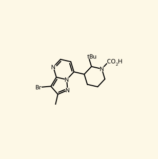 Cc1nn2c(C3CCCN(C(=O)O)C3C(C)(C)C)ccnc2c1Br